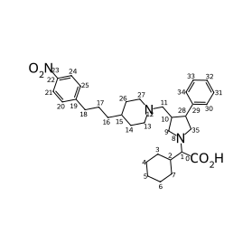 O=C(O)C(C1CCCCC1)N1CC(CN2CCC(CCCc3ccc([N+](=O)[O-])cc3)CC2)C(c2ccccc2)C1